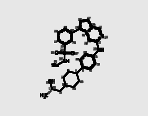 C[C@H](O)CN1CCC(c2ccc(Nc3ncc4ccc(-c5cccc(S(=O)(=O)NC(C)(C)C)c5)n4n3)cc2)CC1